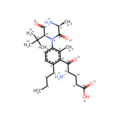 CCCCc1ccc(N(C(=O)[C@H](C)N)[C@H]([C]=O)C(C)(C)C)c(C)c1C(=O)[C@@H](N)CCC(=O)O